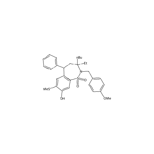 CCCCC1(CC)CC(c2ccccc2)c2cc(SC)c(O)cc2S(=O)(=O)N1Cc1ccc(OC)cc1